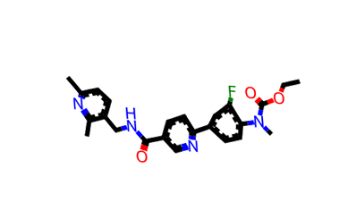 CCOC(=O)N(C)c1ccc(-c2ccc(C(=O)NCc3ccc(C)nc3C)cn2)cc1F